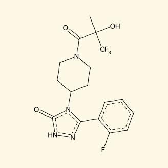 CC(O)(C(=O)N1CCC(n2c(-c3ccccc3F)n[nH]c2=O)CC1)C(F)(F)F